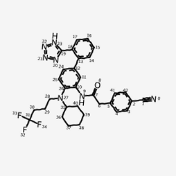 N#Cc1ccc(CC(=O)Nc2cc(-c3ccccc3-c3nnn[nH]3)ccc2N(CCCC(F)(F)F)C2CCCCC2)cc1